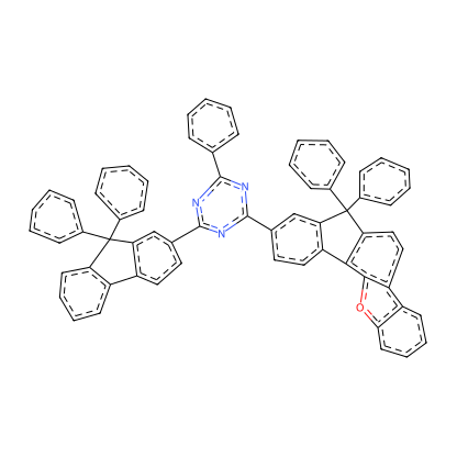 c1ccc(-c2nc(-c3ccc4c(c3)C(c3ccccc3)(c3ccccc3)c3ccccc3-4)nc(-c3ccc4c(c3)C(c3ccccc3)(c3ccccc3)c3ccc5c(oc6ccccc65)c3-4)n2)cc1